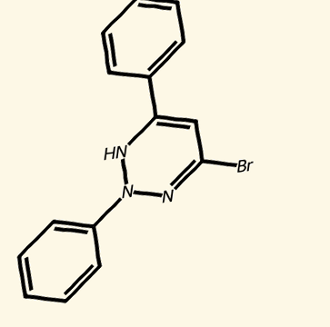 BrC1=NN(c2ccccc2)NC(c2ccccc2)=C1